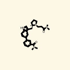 CN(C)C(=O)CCN1CCC[C@@H]1Cc1c[nH]c2ccc(-c3cccc(C(=O)N(C)C)c3)cc12